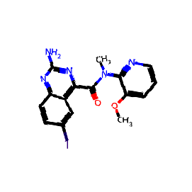 COc1cccnc1N(C)C(=O)c1nc(N)nc2ccc(I)cc12